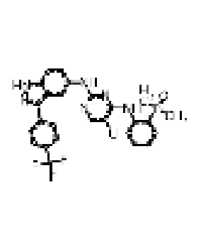 CP(C)(=O)c1ccccc1Nc1nc(Nc2ccc3[nH]nc(-c4ccc(C(F)(F)F)cc4)c3c2)ncc1Cl